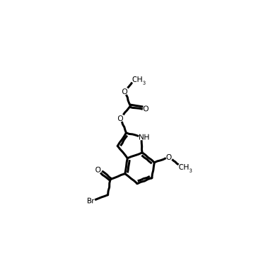 COC(=O)Oc1cc2c(C(=O)CBr)ccc(OC)c2[nH]1